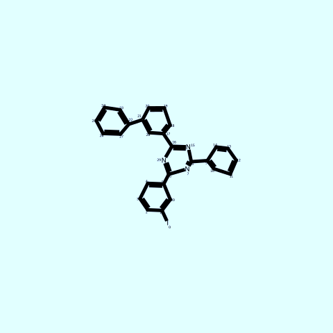 Ic1cccc(-c2nc(-c3ccccc3)nc(-c3cccc(-c4ccccc4)c3)n2)c1